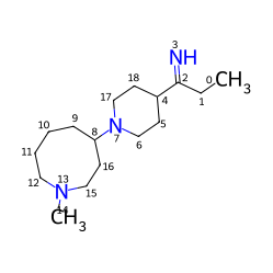 CCC(=N)C1CCN(C2CCCCN(C)CC2)CC1